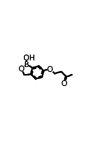 CC(=O)CCOc1ccc2c(c1)B(O)OC2